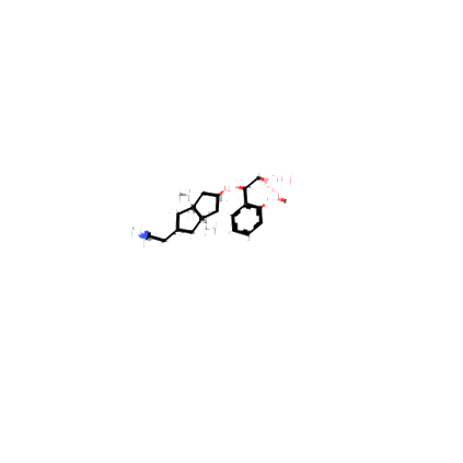 COc1ccccc1C(CO)OC1C[C@H]2CC(CC#N)C[C@H]2C1